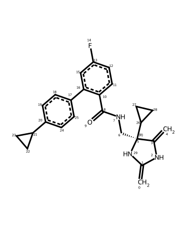 C=C1NC(=C)[C@](CNC(=O)c2ccc(F)cc2-c2ccc(C3CC3)cc2)(C2CC2)N1